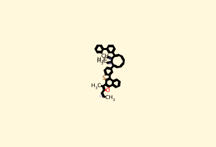 C/C=C\c1oc2c3ccccc3c3c4cc(-c5ccccccc(-c6cccc(-c7ccccc7C)c6)c(=C/C)/c5=C\C)ccc4sc3c2c1C